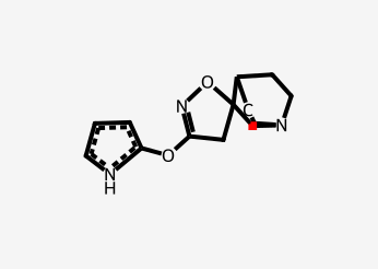 c1c[nH]c(OC2=NOC3(C2)CN2CCC3CC2)c1